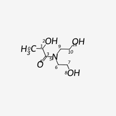 CC(O)C(=O)N(CCO)CCO